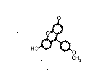 COc1ccc(-c2c3ccc(=O)cc-3oc3cc(O)ccc23)cc1